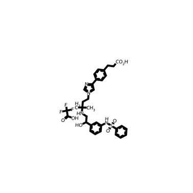 CC(C)(CCn1cnc(-c2ccc(CCC(=O)O)cc2)c1)NCC(O)c1cccc(NS(=O)(=O)c2ccccc2)c1.O=C(O)C(F)(F)F